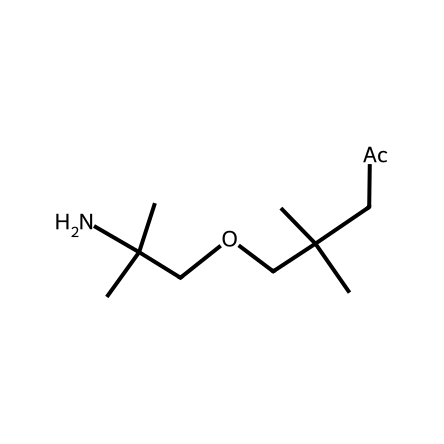 CC(=O)CC(C)(C)COCC(C)(C)N